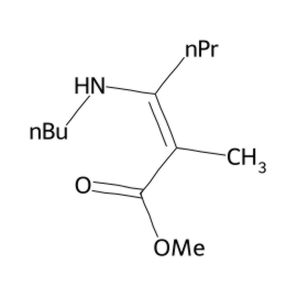 CCCCNC(CCC)=C(C)C(=O)OC